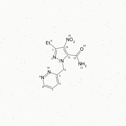 CCc1nn(Cc2cccnn2)c(C(N)=O)c1[N+](=O)[O-]